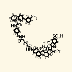 CCCC1OC2CCN3C(=C2C=C1C1=Nc2ccc(S(=O)(=O)O)cc2C1(C)C)C(C)(C)c1cc(CC(=O)NCCCCCC(=O)NCc2ccc(NC(=O)N4c5nc(-c6cccc(C(F)(F)F)c6)ccc5N5CCC[C@H]4C5)cc2)ccc13